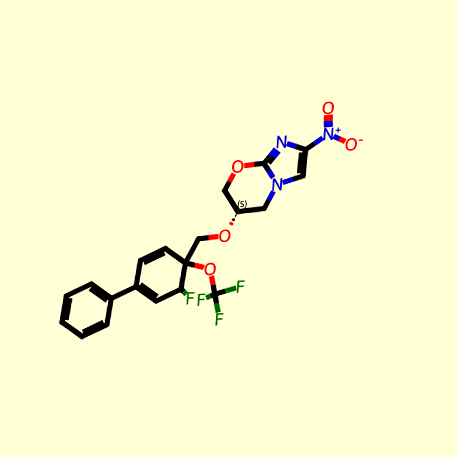 O=[N+]([O-])c1cn2c(n1)OC[C@@H](OCC1(OC(F)(F)F)C=CC(c3ccccc3)=CC1F)C2